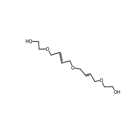 OCCOCC=CCOCC=CCOCCO